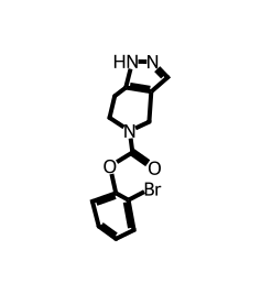 O=C(Oc1ccccc1Br)N1CCc2[nH]ncc2C1